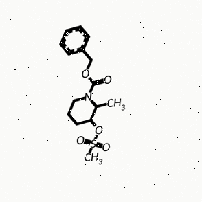 CC1C(OS(C)(=O)=O)CCCN1C(=O)OCc1ccccc1